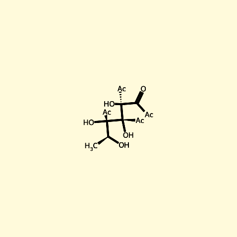 CC(=O)C(=O)[C@@](O)(C(C)=O)[C@@](O)(C(C)=O)[C@](O)(C(C)=O)[C@H](C)O